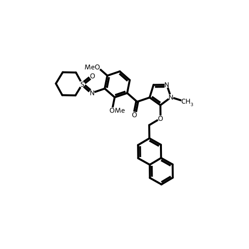 COc1ccc(C(=O)c2cnn(C)c2OCc2ccc3ccccc3c2)c(OC)c1N=S1(=O)CCCCC1